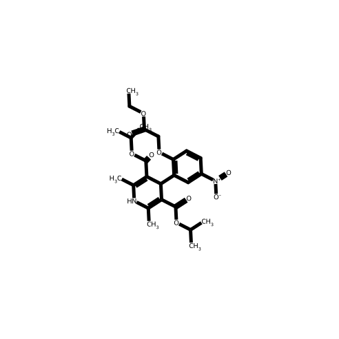 CCOC(=O)COc1ccc([N+](=O)[O-])cc1C1C(C(=O)OC(C)C)=C(C)NC(C)=C1C(=O)OC(C)C